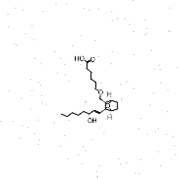 CCCCCC(O)/C=C/[C@H]1[C@@H](COCCCCCC(=O)O)[C@H]2CC[C@@H]1O2